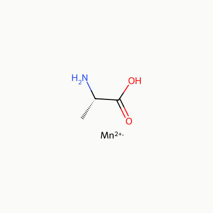 C[C@H](N)C(=O)O.[Mn+2]